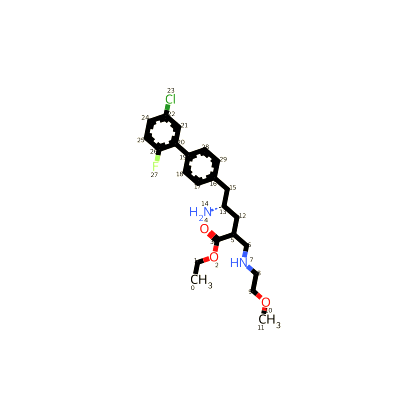 CCOC(=O)C(CNCCOC)C[C@H](N)Cc1ccc(-c2cc(Cl)ccc2F)cc1